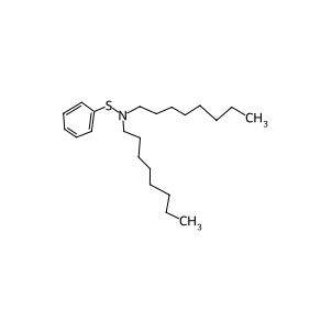 CCCCCCCCN(CCCCCCCC)Sc1ccccc1